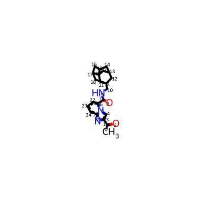 CC(=O)c1cn2c(C(=O)NCC34CC5CC6CC(C3)C6(C5)C4)cccc2n1